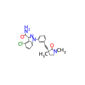 CN1CC[C@@](C)(C#Cc2cccc(-n3nc(C(N)=O)c4c(Cl)cccc43)c2)C1=O